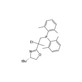 CCC(C)(CP(c1c(C)cccc1C)c1c(C)cccc1C)C1=N[C@@H](C(C)(C)C)CO1